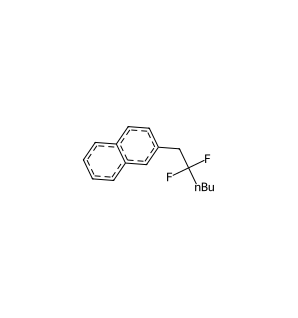 [CH2]CCCC(F)(F)Cc1ccc2ccccc2c1